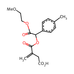 C=C(CC(=O)O)C(=O)OC(C(=O)OCCOC)c1ccc(C)cc1